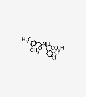 Cc1cc(C)cc(CC(=O)NC(CC(=O)O)Cc2ccc(Cl)c(Cl)c2)c1